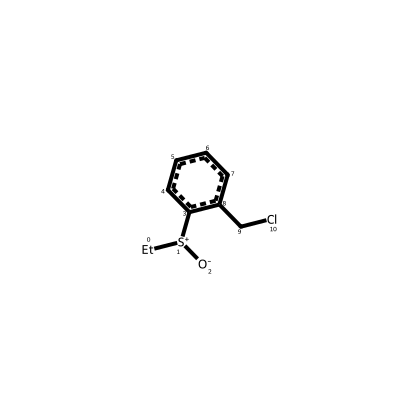 CC[S+]([O-])c1ccccc1CCl